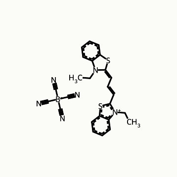 CCN1/C(=C\C=C\c2sc3ccccc3[n+]2CC)Sc2ccccc21.N#C[B-](C#N)(C#N)C#N